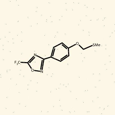 CSCOc1ccc(-c2noc(C(F)(F)F)n2)cc1